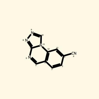 N#Cc1ccc2cnc3nncn3c2c1